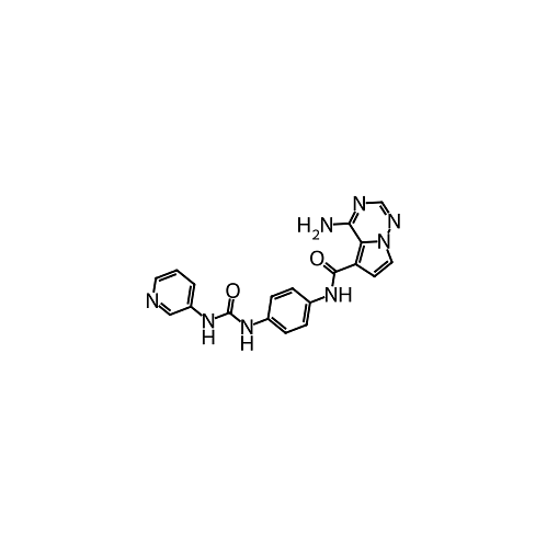 Nc1ncnn2ccc(C(=O)Nc3ccc(NC(=O)Nc4cccnc4)cc3)c12